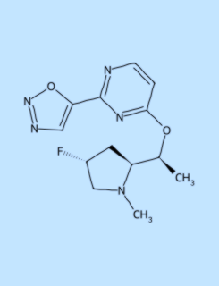 C[C@H](Oc1ccnc(-c2cnno2)n1)[C@@H]1C[C@@H](F)CN1C